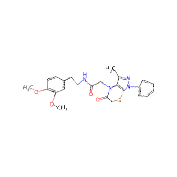 COc1ccc(CCNC(=O)CN2C(=O)CSc3c2c(C)nn3-c2ccccc2)cc1OC